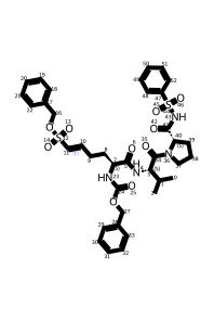 CC(C)[C@H](NC(=O)[C@H](CC/C=C/S(=O)(=O)OCc1ccccc1)NC(=O)OCc1ccccc1)C(=O)N1CCC[C@H]1C(=O)NS(=O)(=O)c1ccccc1